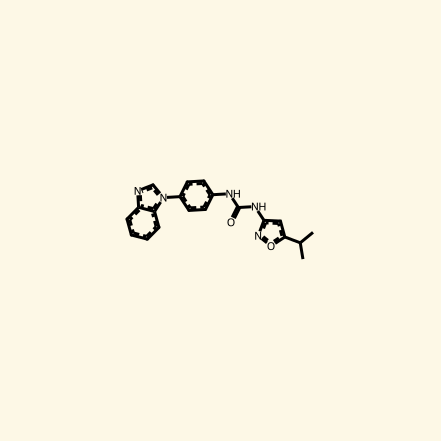 CC(C)c1cc(NC(=O)Nc2ccc(-n3cnc4ccccc43)cc2)no1